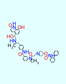 C[C@@H](Cc1ccc(NC(=O)c2cccc(N(C)C(=O)CCN3CCC(OC(=O)Nc4ccccc4-c4ccccc4)CC3)c2)cc1)NC[C@H](O)c1ccc(O)c2[nH]c(=O)ccc12